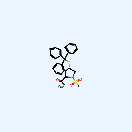 COC(=O)C1C[C@@H](SC(c2ccccc2)(c2ccccc2)c2ccccc2)CN1S(C)(=O)=O